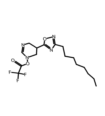 CCCCCCCCc1noc(C2CN=CN(OC(=O)C(F)(F)F)C2)n1